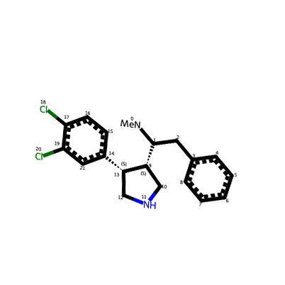 CNC(Cc1ccccc1)[C@@H]1CNC[C@@H]1c1ccc(Cl)c(Cl)c1